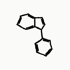 [c]1cccc(C2C=Cc3ccccc32)c1